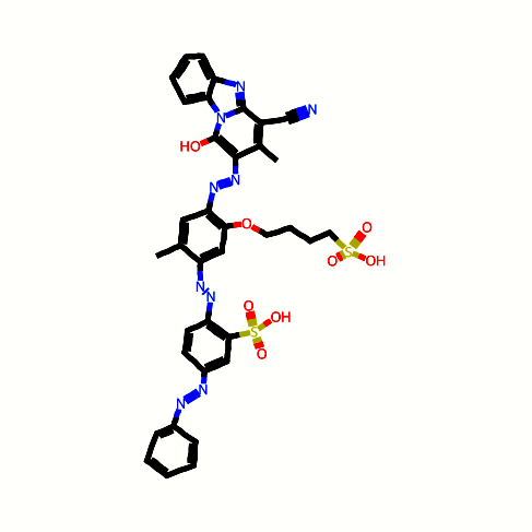 Cc1cc(N=Nc2c(C)c(C#N)c3nc4ccccc4n3c2O)c(OCCCCS(=O)(=O)O)cc1N=Nc1ccc(N=Nc2ccccc2)cc1S(=O)(=O)O